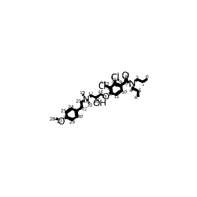 CCCN(CCC)C(=O)c1ccc(OC[C@H](O)C[N+](C)(C)CCc2ccc(OC)cc2)c(Cl)c1Cl